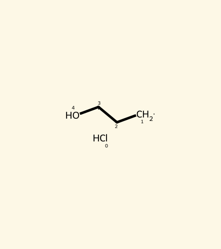 Cl.[CH2]C[CH]O